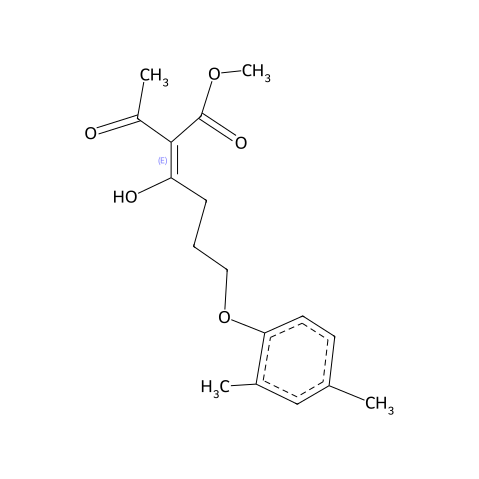 COC(=O)/C(C(C)=O)=C(/O)CCCOc1ccc(C)cc1C